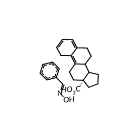 O=C(O)[C@@]12CCCC1C1CCC3=CC=CCC3=C1CC2.ON=Cc1ccccc1